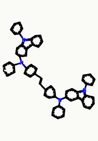 C(=Cc1ccc(N(c2ccccc2)c2ccc3c(c2)c2ccccc2n3-c2ccccc2)cc1)c1ccc(N(c2ccccc2)c2ccc3c(c2)c2ccccc2n3-c2ccccc2)cc1